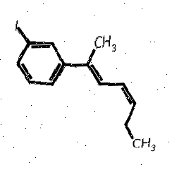 CC/C=C\C=C(/C)c1cccc(I)c1